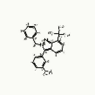 Oc1cccc(-c2c3cccc(C(F)(F)F)c3nn2Cc2ccccc2)c1